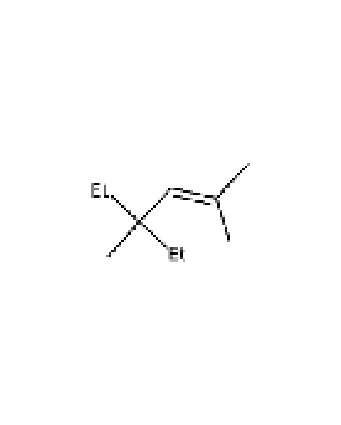 CCC(C)(C=C(C)C)CC